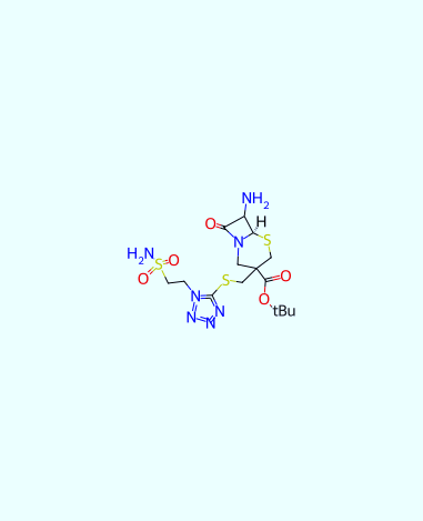 CC(C)(C)OC(=O)C1(CSc2nnnn2CCS(N)(=O)=O)CS[C@@H]2C(N)C(=O)N2C1